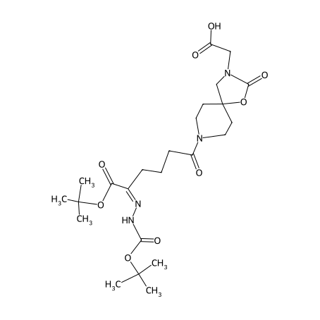 CC(C)(C)OC(=O)NN=C(CCCC(=O)N1CCC2(CC1)CN(CC(=O)O)C(=O)O2)C(=O)OC(C)(C)C